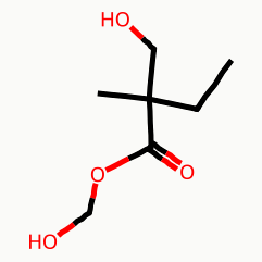 CCC(C)(CO)C(=O)OCO